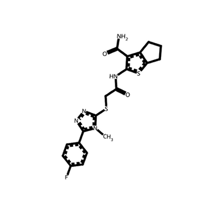 Cn1c(SCC(=O)Nc2sc3c(c2C(N)=O)CCC3)nnc1-c1ccc(F)cc1